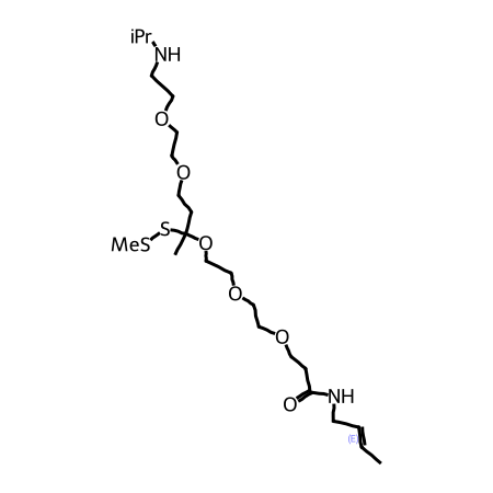 C/C=C/CNC(=O)CCOCCOCCOC(C)(CCOCCOCCNC(C)C)SSC